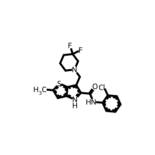 Cc1cc2[nH]c(C(=O)Nc3ccccc3Cl)c(CN3CCCC(F)(F)C3)c2s1